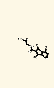 O=C(O)CNC(=O)C1=C(O)c2cccc(F)c2C1=O